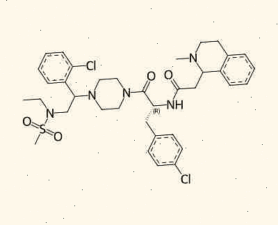 CCN(CC(c1ccccc1Cl)N1CCN(C(=O)[C@@H](Cc2ccc(Cl)cc2)NC(=O)CC2c3ccccc3CCN2C)CC1)S(C)(=O)=O